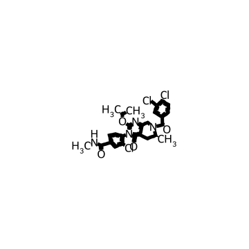 CNC(=O)c1ccc(-n2c(OC(C)C)nc3c(c2=O)C[C@@H](C)N(C(=O)c2ccc(Cl)c(Cl)c2)C3)c(Cl)c1